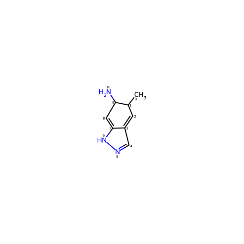 CC1C=c2cn[nH]c2=CC1N